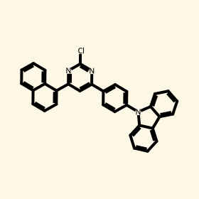 Clc1nc(-c2ccc(-n3c4ccccc4c4ccccc43)cc2)cc(-c2cccc3ccccc23)n1